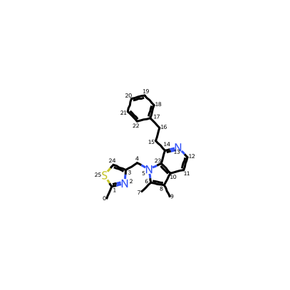 Cc1nc(Cn2c(C)c(C)c3ccnc(CCc4ccccc4)c32)cs1